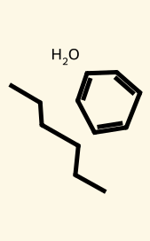 CCCCCC.O.c1ccccc1